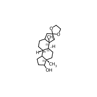 C[C@]12CC[C@H]3[C@@H](CCC4CC5(C[C@@]43C)OCCO5)C1CCC2O